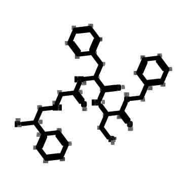 CC(C)CC(NC(=O)C(Cc1ccccc1)NC(=O)CNCC(c1ccccc1)C(C)C)C(=O)OCc1ccccc1